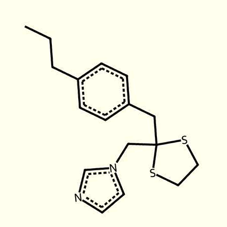 CCCc1ccc(CC2(Cn3ccnc3)SCCS2)cc1